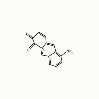 Nc1cccc2cc3c(cc12)C=CC(=O)C3=O